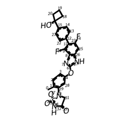 Cc1ccc(Oc2nc3c(F)c(-c4ccc(C5(O)CCC5)cc4)c(F)cc3[nH]2)cc1N1CC(=O)NS1(=O)=O